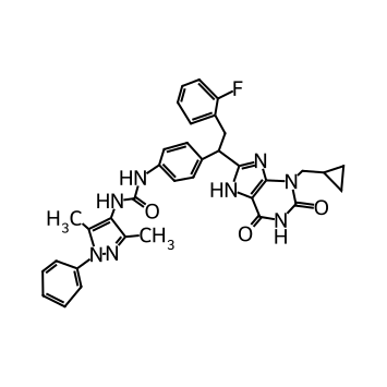 Cc1nn(-c2ccccc2)c(C)c1NC(=O)Nc1ccc(C(Cc2ccccc2F)c2nc3c([nH]2)c(=O)[nH]c(=O)n3CC2CC2)cc1